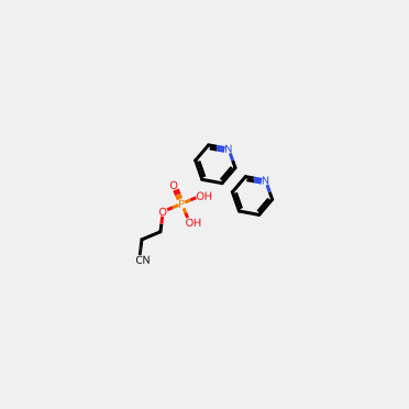 N#CCCOP(=O)(O)O.c1ccncc1.c1ccncc1